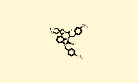 Cc1ccc(CC(C(=O)N2CC(CO)(CCl)C2)n2c(=N)n(Cc3ccc(C)cc3)c3ccccc32)cc1